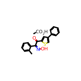 CC(=O)O.Cc1ccccc1C(=NO)C(=O)c1cc(-c2ccccc2)cs1